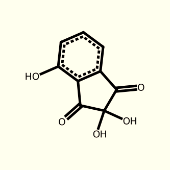 O=C1c2cccc(O)c2C(=O)C1(O)O